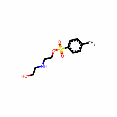 Cc1ccc(S(=O)(=O)OCCNCCO)cc1